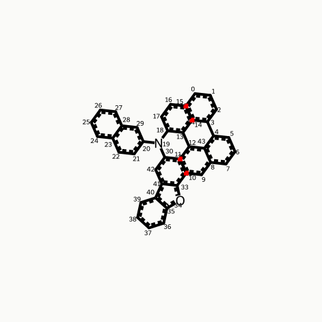 c1ccc(-c2cccc3cccc(-c4ccccc4N(c4ccc5ccccc5c4)c4ccc5oc6ccccc6c5c4)c23)cc1